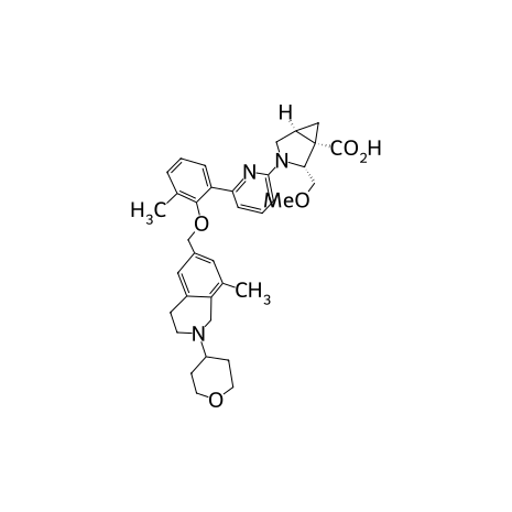 COC[C@@H]1N(c2cccc(-c3cccc(C)c3OCc3cc(C)c4c(c3)CCN(C3CCOCC3)C4)n2)C[C@H]2C[C@]21C(=O)O